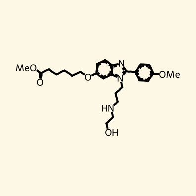 COC(=O)CCCCCOc1ccc2nc(-c3ccc(OC)cc3)n(CCCNCCO)c2c1